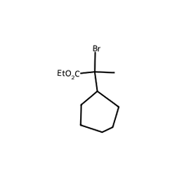 CCOC(=O)C(C)(Br)C1CCCCC1